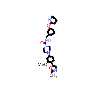 COc1cc(N2CCN(C(=O)NCc3cccc(Oc4ccccn4)c3)CC2)ccc1-c1cnc(C)o1